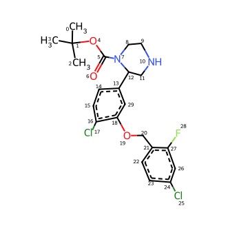 CC(C)(C)OC(=O)N1CCNCC1c1ccc(Cl)c(OCc2ccc(Cl)cc2F)c1